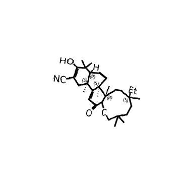 CC[C@@]1(C)CCC(C)(C)CCC2C(=O)C=C3[C@@]4(C)CC(C#N)=C(O)C(C)(C)[C@@H]4CC[C@@]3(C)[C@]2(C)CC1